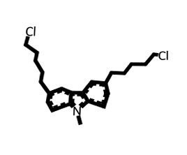 Cn1c2ccc(CCCCCCl)cc2c2cc(CCCCCCl)ccc21